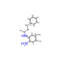 Cc1cc(N)c(NC(C)CCc2ccccc2)cc1C